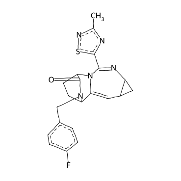 Cc1nsc(C2=NC3CC3C=C3C4CCC(C(=O)N4Cc4ccc(F)cc4)N32)n1